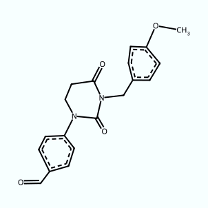 COc1ccc(CN2C(=O)CCN(c3ccc(C=O)cc3)C2=O)cc1